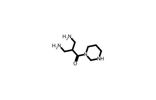 NCC(CN)C(=O)N1CCCNC1